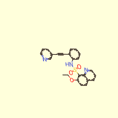 CCOc1ccc2cccnc2c1S(=O)(=O)Nc1ccccc1C#Cc1cccnc1